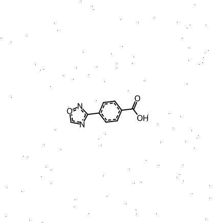 O=C(O)c1ccc(-c2ncon2)cc1